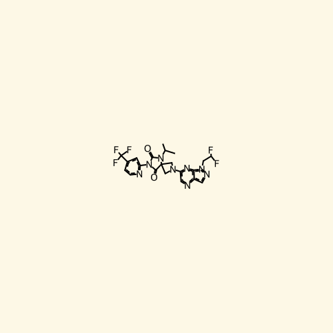 CC(C)N1C(=O)N(c2cc(C(F)(F)F)ccn2)C(=O)C12CN(c1cnc3cnn(CC(F)F)c3n1)C2